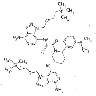 CN(C)c1cccc(C2CCCCN2C(=O)C(=O)Nc2cnc(N)c3cnn(COCC[Si](C)(C)C)c23)c1.C[Si](C)(C)CCOCn1ncc2c(N)ncc(Br)c21